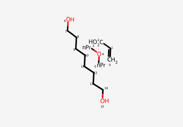 C=CC(=O)O.CCCOCCC.OCCCCCCCCO